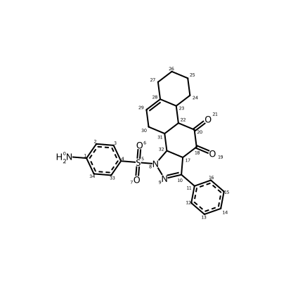 Nc1ccc(S(=O)(=O)N2N=C(c3ccccc3)C3C(=O)C(=O)C4C5CCCCC5=CCC4C32)cc1